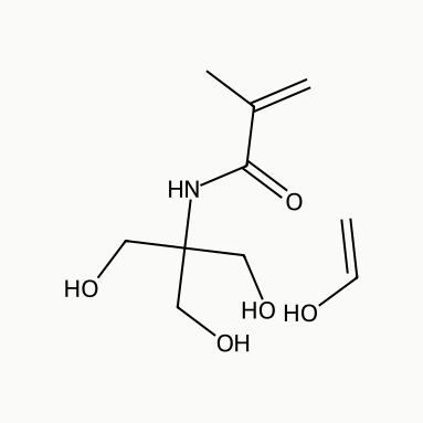 C=C(C)C(=O)NC(CO)(CO)CO.C=CO